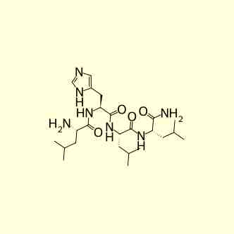 CC(C)C[C@H](NC(=O)[C@H](CC(C)C)NC(=O)[C@H](Cc1cnc[nH]1)NC(=O)[C@@H](N)CC(C)C)C(N)=O